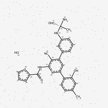 Cc1ccc(-c2cc(-c3cccc(N[C@](C)(N)C=O)c3)c(C#N)c(NC(=O)c3cccs3)n2)c(O)c1.Cl